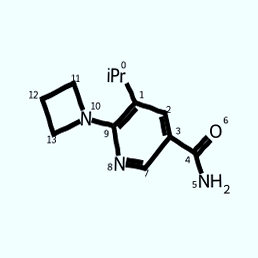 CC(C)c1cc(C(N)=O)cnc1N1CCC1